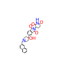 O=C1CCC(N2C(=O)c3ccc(C4(O)CCN(Cc5ccc6ccccc6c5)CC4)cc3C2=O)C(=O)N1